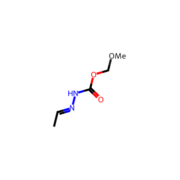 CC=NNC(=O)OCOC